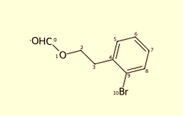 O=[C]OCCc1ccccc1Br